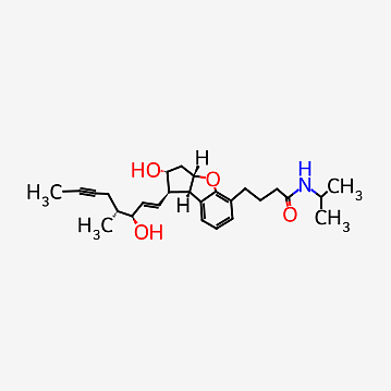 CC#CC[C@@H](C)[C@H](O)/C=C/[C@@H]1[C@H]2c3cccc(CCCC(=O)NC(C)C)c3O[C@H]2C[C@H]1O